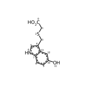 O=C(O)CSCc1c[nH]c2ccc(O)cc12